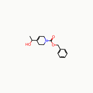 CC(O)C1=CCN(C(=O)OCc2ccccc2)CC1